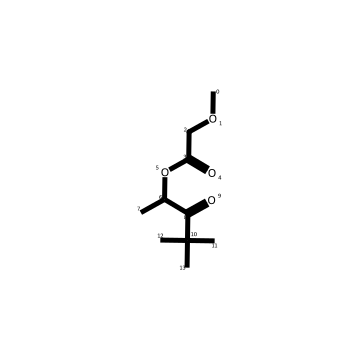 COCC(=O)OC(C)C(=O)C(C)(C)C